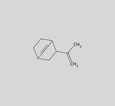 C=C(C)C1CC2C=CC1CC2